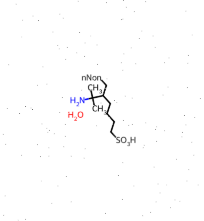 CCCCCCCCCCC(CCCCS(=O)(=O)O)C(C)(C)N.O